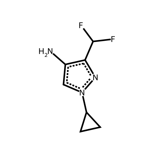 Nc1cn(C2CC2)nc1C(F)F